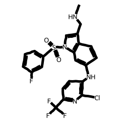 CNCc1cn(S(=O)(=O)c2cccc(F)c2)c2cc(Nc3ccc(C(F)(F)F)nc3Cl)ccc12